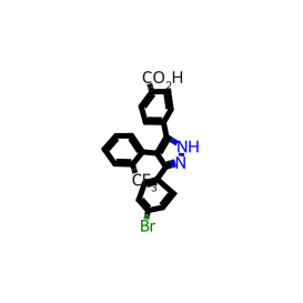 O=C(O)c1ccc(-c2[nH]nc(-c3ccc(Br)cc3)c2-c2ccccc2C(F)(F)F)cc1